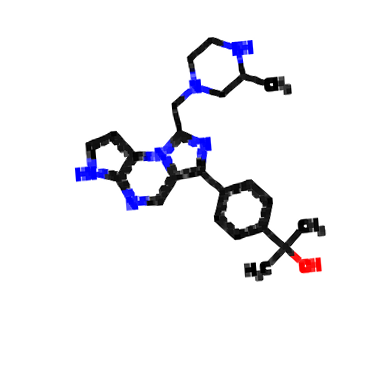 CC1CN(Cc2nc(-c3ccc(C(C)(C)O)cc3)c3cnc4[nH]ccc4n23)CCN1